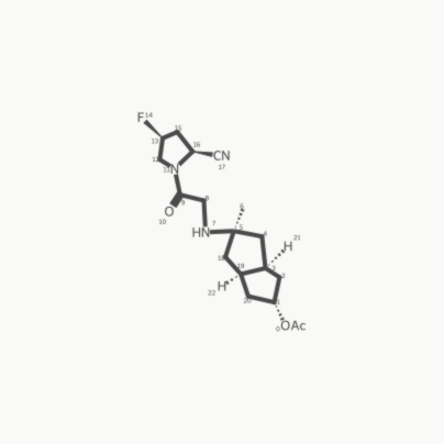 CC(=O)O[C@H]1C[C@@H]2C[C@](C)(NCC(=O)N3C[C@@H](F)C[C@H]3C#N)C[C@@H]2C1